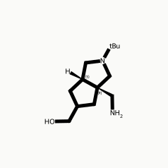 CC(C)(C)N1C[C@H]2CC(CO)C[C@@]2(CN)C1